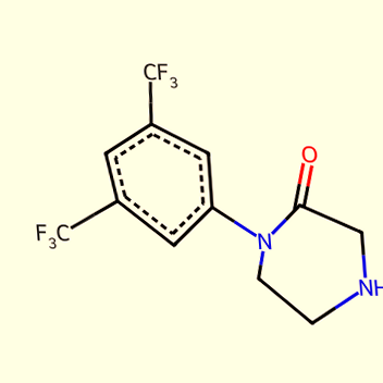 O=C1CNCCN1c1cc(C(F)(F)F)cc(C(F)(F)F)c1